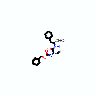 CC(C)C[C@H](NC(=O)OCc1ccccc1)C(=O)N[C@@H](C=O)Cc1ccccc1